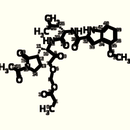 CCC(=O)OCOCC(=O)[C@H](C[C@@H]1CCN(C(C)=O)C1=O)NC(=O)[C@H](CC(C)C)NC(=O)c1cc2c(OC)cccc2[nH]1